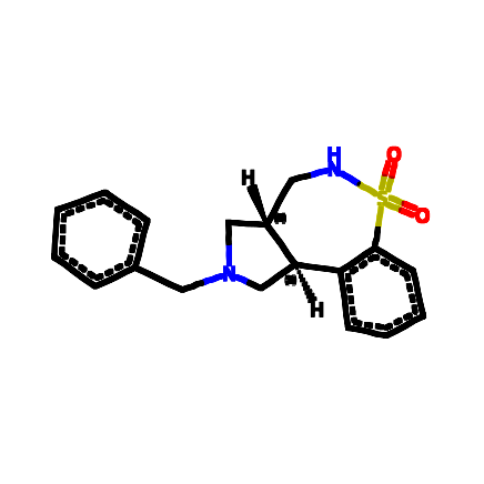 O=S1(=O)NC[C@H]2CN(Cc3ccccc3)C[C@@H]2c2ccccc21